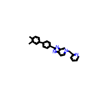 Cc1ccc(-c2ccc(-c3nc4ccn(Cc5ccccn5)cc-4n3)cc2)cc1C